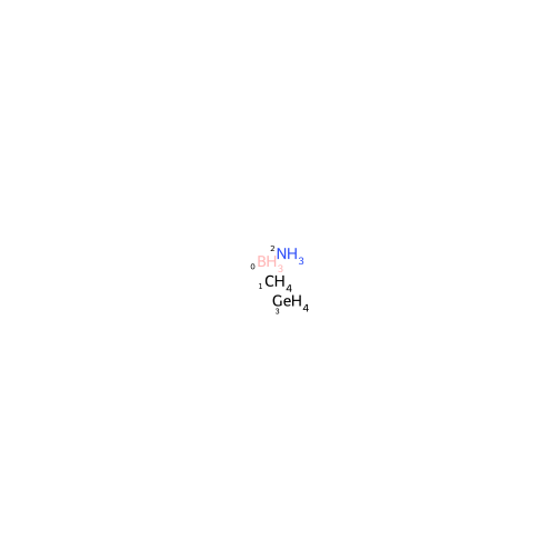 B.C.N.[GeH4]